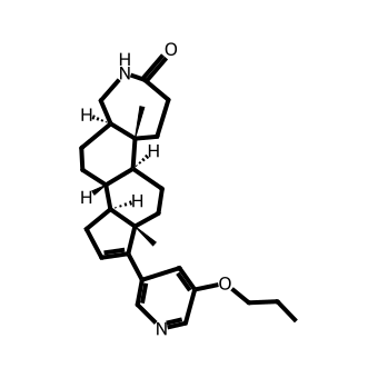 CCCOc1cncc(C2=CC[C@H]3[C@@H]4CC[C@H]5CNC(=O)CC[C@]5(C)[C@H]4CC[C@]23C)c1